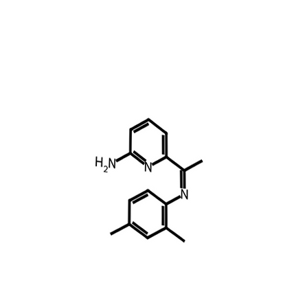 CC(=Nc1ccc(C)cc1C)c1cccc(N)n1